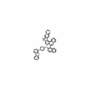 CC1(C)c2cc(N(c3ccc(-c4cccc5c4sc4ccccc45)cc3)c3ccc4ccccc4c3-c3ccc4ccccc4c3)ccc2-c2cc3ccccc3cc21